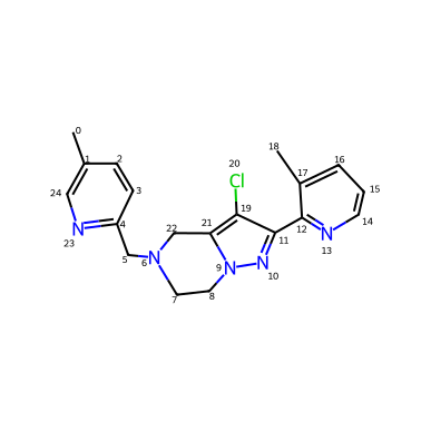 Cc1ccc(CN2CCn3nc(-c4ncccc4C)c(Cl)c3C2)nc1